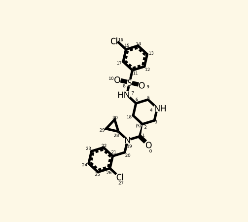 O=C([C@@H]1CNCC(NS(=O)(=O)c2cccc(Cl)c2)C1)N(Cc1ccccc1Cl)C1CC1